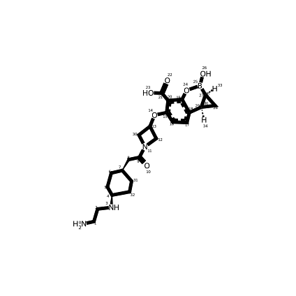 NCCN[C@H]1CC[C@@H](CC(=O)N2CC(Oc3ccc4c(c3C(=O)O)OB(O)[C@H]3C[C@@H]43)C2)CC1